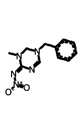 CN1CN(Cc2ccccc2)C=N/C1=N\[N+](=O)[O-]